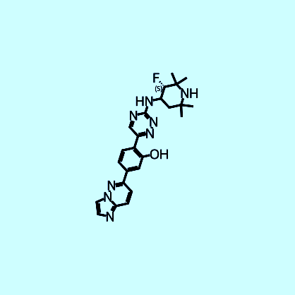 CC1(C)CC(Nc2ncc(-c3ccc(-c4ccc5nccn5n4)cc3O)nn2)[C@H](F)C(C)(C)N1